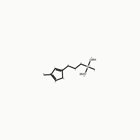 CO[Si](C)(CCCC1=CC(C)=CC1)OC